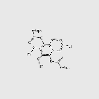 CCCCCCCC(=O)Oc1c(OC(C)C)c(OC(C)C)c(OC(=O)CCCCCCC)c2cc(Cl)ccc12